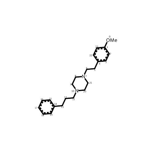 COc1ccc(CCN2CCN(CCCc3ccccc3)CC2)cc1